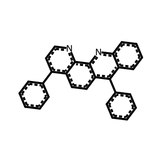 c1ccc(-c2ccnc3c2ccc2c(-c4ccccc4)c4ccccc4nc23)cc1